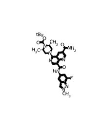 C[C@@H]1CN(c2ncc(C(=O)Nc3cc(F)c4nn(C)cc4c3)c3ncc(C(N)=O)cc23)C[C@H](C)N1C(=O)OC(C)(C)C